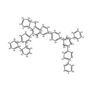 c1ccc(-c2ccc(-c3nc(-c4ccccc4)nc(-c4ccc(-c5ccc6c(c5)nc(-c5ccc7c8ccccc8c8ccccc8c7c5)c5c7ccccc7sc65)cc4)n3)cc2)cc1